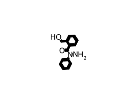 NN(C(=O)c1ccccc1CO)c1ccccc1